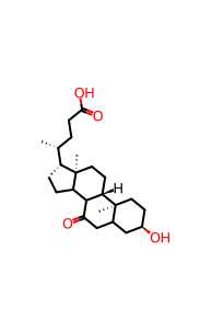 C[C@H](CCC(=O)O)[C@H]1CCC2C3C(=O)CC4C[C@H](O)CC[C@]4(C)[C@H]3CC[C@@]21C